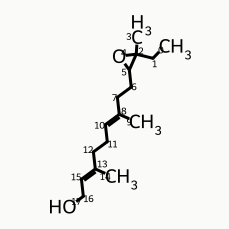 CCC1(C)OC1CC/C(C)=C/CC/C(C)=C/CO